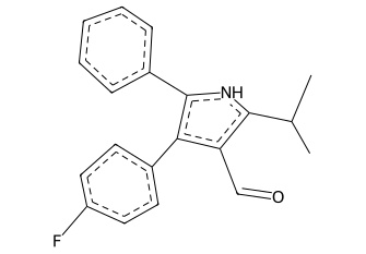 CC(C)c1[nH]c(-c2ccccc2)c(-c2ccc(F)cc2)c1C=O